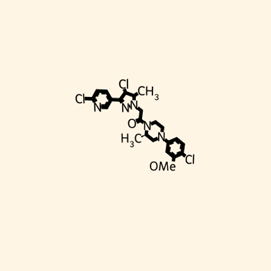 COc1cc(N2CCN(C(=O)CN3N=C(c4ccc(Cl)nc4)C(Cl)C3C)[C@@H](C)C2)ccc1Cl